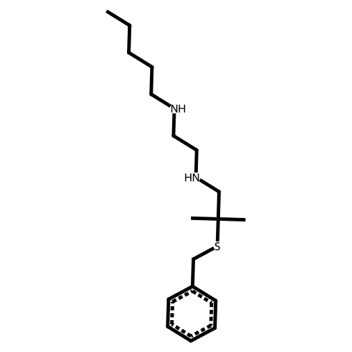 CCCCCNCCNCC(C)(C)SCc1ccccc1